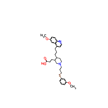 COc1cccc(SCCCN2CCC(CCCc3ccnc4ccc(OC)cc34)C(CCC(=O)O)C2)c1